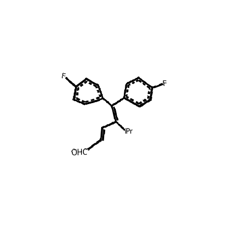 CC(C)C(/C=C/C=O)=C(c1ccc(F)cc1)c1ccc(F)cc1